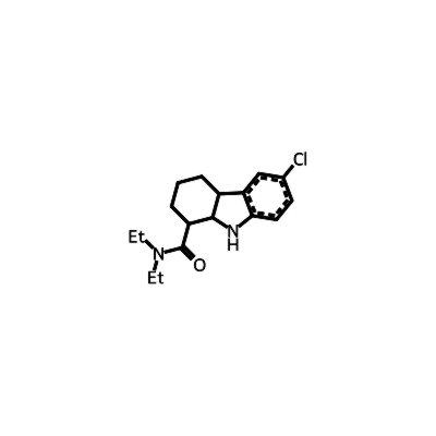 CCN(CC)C(=O)C1CCCC2c3cc(Cl)ccc3NC12